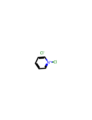 Cl[n+]1ccccc1.[Cl-]